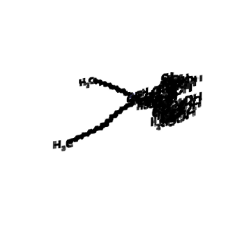 CCCCCCCCCCCCC/C=C/[C@@H](O)[C@H](CO[C@@H]1OC(CO)[C@@H](O[C@@H]2OC(CO)[C@H](O[C@@H]3OC(CO[C@]4(C(=O)O)CC(O)[C@@H](NC(C)=O)C([C@H](O)[C@H](O)CO)O4)[C@H](O)[C@H](O[C@@H]4OC(CO)[C@H](O)[C@H](O)C4O)C3NC(C)=O)[C@H](O)C2O)[C@H](O)C1O)NC(=O)CCCCCCCCCCCCCCCCCCCCCCC